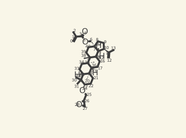 C=C(C)C(=O)OC[C@]12CC[C@@H](C(=C)C)[C@@H]1[C@H]1CC[C@@H]3[C@@]4(C)CC[C@H](OCC5CO5)C(C)(C)[C@@H]4CC[C@@]3(C)[C@]1(C)CC2